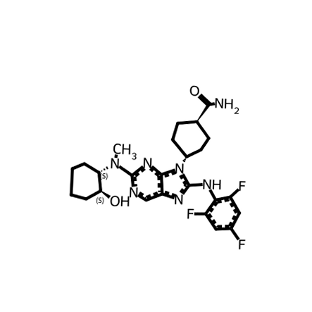 CN(c1ncc2nc(Nc3c(F)cc(F)cc3F)n([C@H]3CC[C@H](C(N)=O)CC3)c2n1)[C@H]1CCCC[C@@H]1O